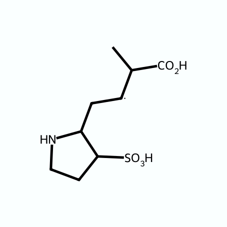 CC([CH]CC1NCCC1S(=O)(=O)O)C(=O)O